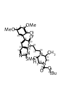 COc1cc(OC)c(Cl)c(-c2cc3cnc(SC)nc3n(CCCN3C(C)CN(C(=O)OC(C)(C)C)CC3C)c2=O)c1